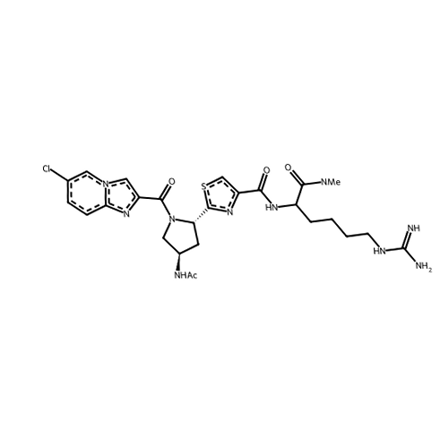 CNC(=O)C(CCCCNC(=N)N)NC(=O)c1csc([C@@H]2C[C@@H](NC(C)=O)CN2C(=O)c2cn3cc(Cl)ccc3n2)n1